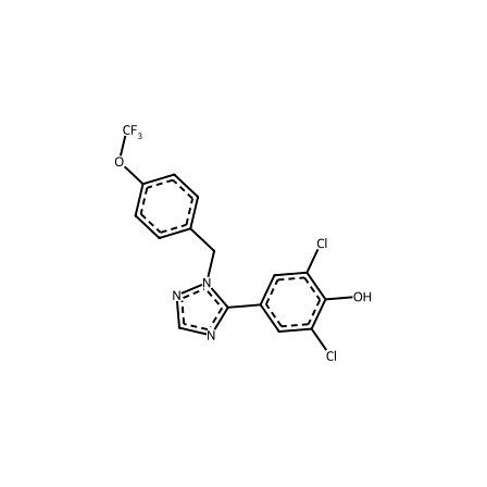 Oc1c(Cl)cc(-c2ncnn2Cc2ccc(OC(F)(F)F)cc2)cc1Cl